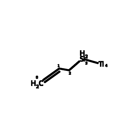 C=CC[SiH2][Ti]